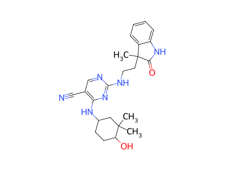 CC1(CCNc2ncc(C#N)c(NC3CCC(O)C(C)(C)C3)n2)C(=O)Nc2ccccc21